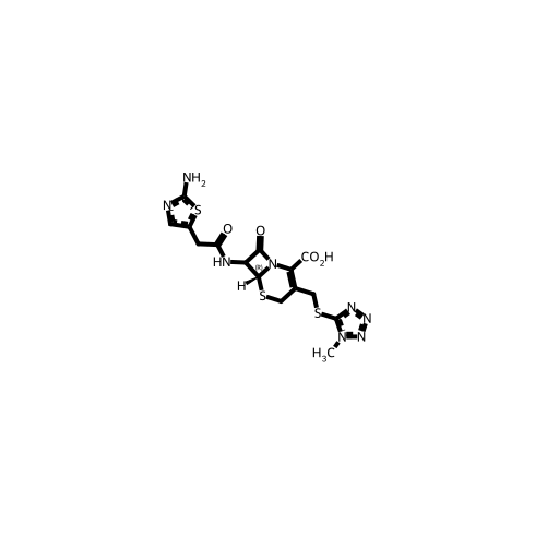 Cn1nnnc1SCC1=C(C(=O)O)N2C(=O)C(NC(=O)Cc3cnc(N)s3)[C@H]2SC1